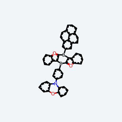 c1ccc2c(c1)Oc1ccccc1N2c1ccc(B2c3oc4ccccc4c3B(c3cc4ccc5cccc6ccc(c3)c4c56)c3oc4ccccc4c32)cc1